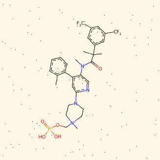 Cc1ccccc1-c1cc(N2CC[N+](C)(COP(=O)(O)O)CC2)ncc1N(C)C(=O)C(C)(C)c1cc(C(F)(F)F)cc(C(F)(F)F)c1